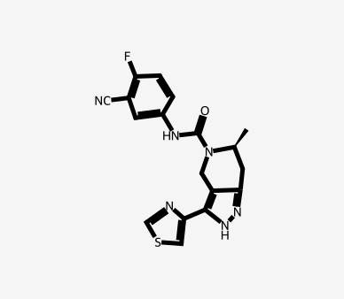 C[C@H]1Cc2n[nH]c(-c3cscn3)c2CN1C(=O)Nc1ccc(F)c(C#N)c1